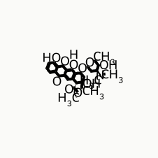 CC[C@@]1(O)C[C@H](OC2C[C@H](N(C)C)[C@@H](O)[C@H](C)O2)c2c(cc3c(c2O)C(=O)c2c(O)cccc2C3=O)[C@H]1C(=O)OC